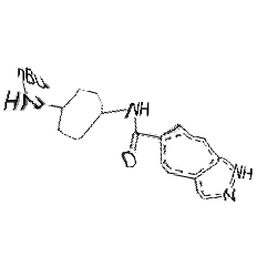 CCCCNC1CCC(NC(=O)c2ccc3[nH]ncc3c2)CC1